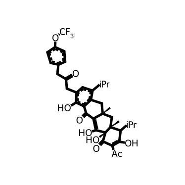 CC(=O)C1=C(O)C(C(C)C)[C@@]2(C)C[C@@]3(C)Cc4c(C(C)C)cc(CC(=O)Cc5ccc(OC(F)(F)F)cc5)c(O)c4C(=O)C3=C(O)[C@@]2(O)C1=O